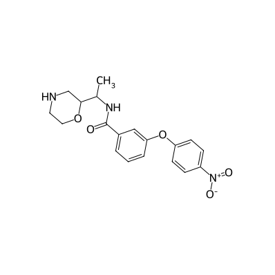 CC(NC(=O)c1cccc(Oc2ccc([N+](=O)[O-])cc2)c1)C1CNCCO1